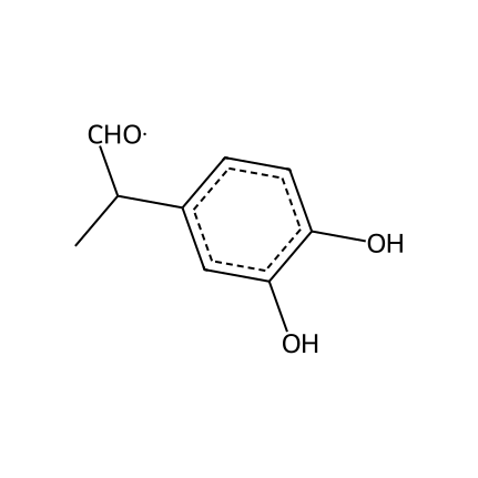 CC([C]=O)c1ccc(O)c(O)c1